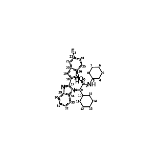 O=C(NC1CCCCC1)C(C1CCCCC1)n1c(-c2cc3cc(F)ccc3[nH]2)nc2ccccc21